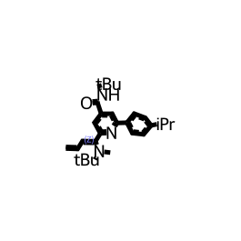 C=C/C=C(/c1cc(C(=O)NC(C)(C)C)cc(-c2ccc(C(C)C)cc2)n1)N(C)C(C)(C)C